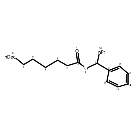 CCCCCCCCCCCCCCCC(=O)OC(CCC)c1ccccc1